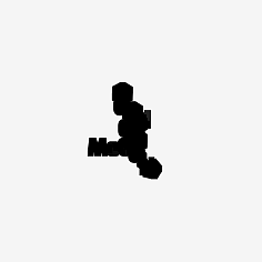 COc1cc(-n2cnc3ccc(Oc4ccccc4)cc3c2=O)ccc1OCCN1CCCC1